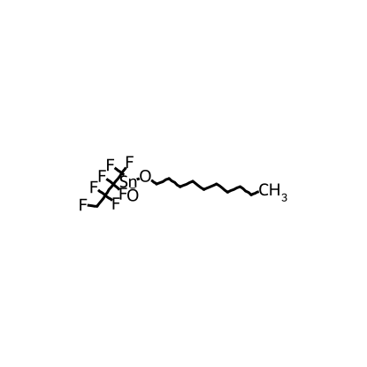 CCCCCCCCCC[O][Sn](=[O])[C](F)(F)C(F)(F)C(F)(F)CF